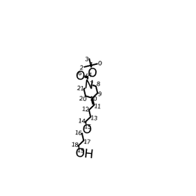 CC(C)(C)OC(=O)N1CCC(=CCCCOCCCO)CC1